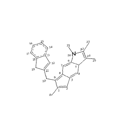 CC1=CC2=CC3C(=CC2=C1CC1=Cc2ccccc2C1)N(C)C(C)=C3C